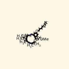 COCOc1cc(OCCCCN=[N+]=[N-])cc2c1C(=O)O[C@@H](C)[C@H](C)/C=C\C(C)[C@H]1OC(C)(C)O[C@H]1C/C=C/2